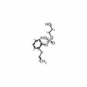 C=CCc1ccccc1OP(=O)(O)OCCO